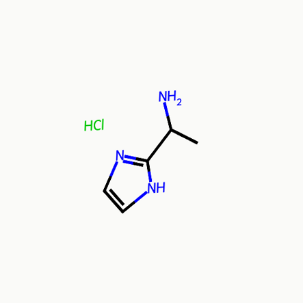 CC(N)c1ncc[nH]1.Cl